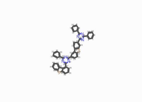 c1ccc(-c2nc(-c3ccccc3)nc(-c3ccc4c(c3)sc3ccc(-c5nc(-c6ccccc6)nc(-c6cccc7sc8ccccc8c67)n5)cc34)n2)cc1